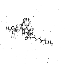 C=CCCCCCS(=O)(=O)NC(=O)[C@@]1(NC(=O)OC(C)(C)C)C[C@H]1C=C